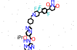 CC(C)Oc1cc2nc([C@H]3CC[C@H](CN4CCC(c5cc(F)c(C6CCC(=O)NC6=O)cc5F)C(F)(F)C4)CC3)cn2cc1C(=O)Nc1cnn2cccnc12